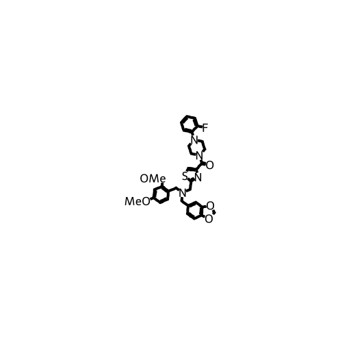 COc1ccc(CN(Cc2ccc3c(c2)OCO3)Cc2nc(C(=O)N3CCN(c4ccccc4F)CC3)cs2)c(OC)c1